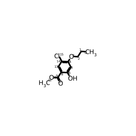 CCCOc1cc(O)c(C(=O)OC)cc1Cl